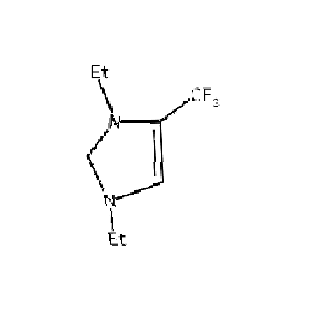 CCN1C=C(C(F)(F)F)N(CC)C1